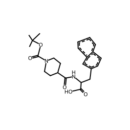 CC(C)(C)OC(=O)N1CCC(C(=O)NC(Cc2ccc3ccccc3c2)C(=O)O)CC1